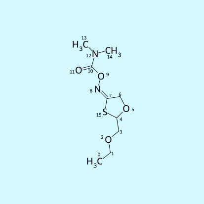 CCOCC1OCC(=NOC(=O)N(C)C)S1